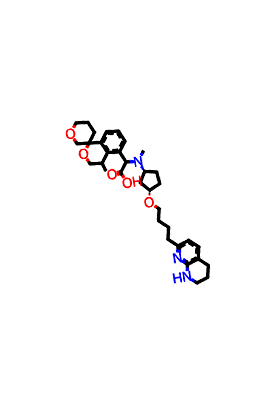 CC1COC2(CCCOC2)c2cccc(C(C(=O)O)N(C)[C@H]3CC[C@H](OCCCCc4ccc5c(n4)NCCC5)C3)c21